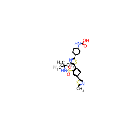 Cc1ncc(-c2ccc(-c3cnc([C@H]4CC[C@H](NC(=O)O)CC4)s3)c(S(=O)(=O)NC(C)(C)C)c2)s1